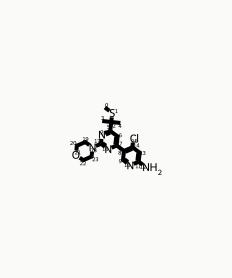 CSC(C)(C)c1cc(-c2cnc(N)cc2Cl)nc(N2CCOCC2)n1